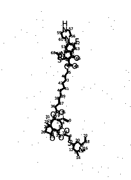 C=C[C@@]1(C)C[C@H](OC(=O)CSC2CC(C)N(C)C(CC)C2)/C(C)=C2/C(=O)CCC2(C)[C@H](C)[C@H]1OC(=O)CCCCCCCCCCOC(=O)c1c2n(c3cc(N4CCNCC4)c(F)cc3c1=O)C(C)S2